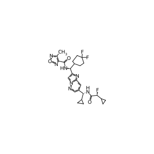 Cc1nonc1C(=O)N[C@H](c1cn2ncc([C@H](NC(=O)[C@@H](F)C3CC3)C3CC3)cc2n1)C1CCC(F)(F)CC1